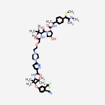 C=N/C(C)=C(\SC)c1ccc([C@H](C)NC(=O)[C@@H]2C[C@@H](O)CN2C(=O)[C@@H](NC(=O)COCCN2CCN(c3ccc(C(=O)N[C@H]4C(C)(C)[C@H](Oc5ccc(C#N)c(C(F)(F)F)c5)C4(C)C)nn3)CC2)C(C)(C)C)cc1